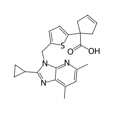 Cc1cc(C)c2nc(C3CC3)n(Cc3ccc(C4(C(=O)O)CC=CC4)s3)c2n1